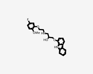 COc1ccc(F)cc1OCCNCC(O)COc1cccc2c1[nH]c1ccccc12